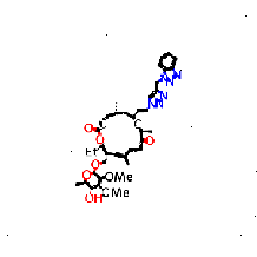 CC[C@H]1OC(=O)CC[C@H](C)C[C@@H](CCn2cc(Cn3nnc4ccccc43)nn2)C[C@@H](C)C(=O)/C=C/C(C)=C/[C@@H]1CO[C@@H]1OC(C)[C@@H](O)[C@H](OC)C1OC